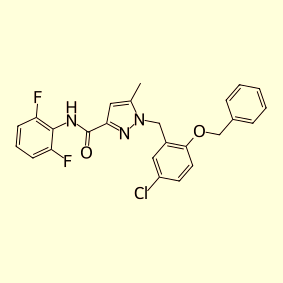 Cc1cc(C(=O)Nc2c(F)cccc2F)nn1Cc1cc(Cl)ccc1OCc1ccccc1